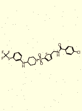 O=C(NCc1ccc(S(=O)(=O)N2CCC(Nc3cccc(SC(F)(F)F)c3)CC2)s1)c1ccc(Cl)cc1